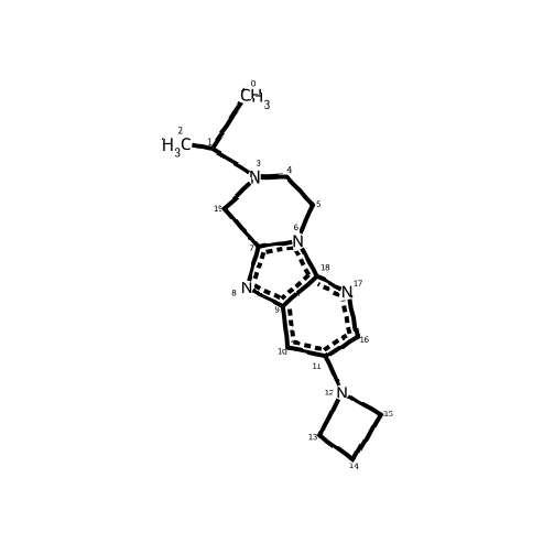 CC(C)N1CCn2c(nc3cc(N4CCC4)cnc32)C1